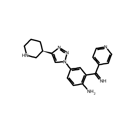 N=C(c1ccncc1)c1cc(-n2cc([C@@H]3CCCNC3)nn2)ccc1N